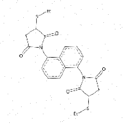 CCSC1CC(=O)N(c2cccc3c(N4C(=O)CC(SCC)C4=O)cccc23)C1=O